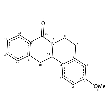 COc1ccc2c(c1)CCN1C(=O)c3ccccc3CC21